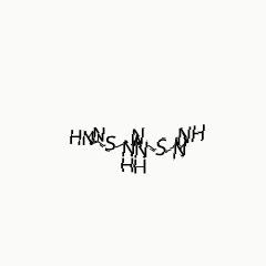 CN=C(NCCSCc1c[nH]cn1)NCCSCc1c[nH]cn1